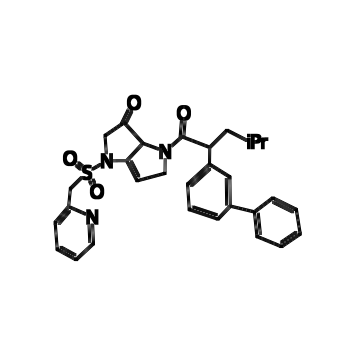 CC(C)CC(C(=O)N1CC=C2C1C(=O)CN2S(=O)(=O)Cc1ccccn1)c1cccc(-c2ccccc2)c1